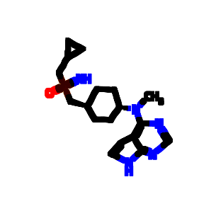 CN(c1ncnc2[nH]ccc12)[C@H]1CC[C@H](CS(=N)(=O)CC2CC2)CC1